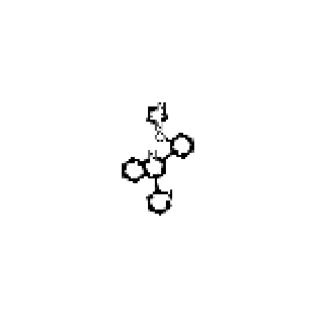 c1ccc(-c2cc(-c3ccccc3On3ccnc3)nc3ccccc23)nc1